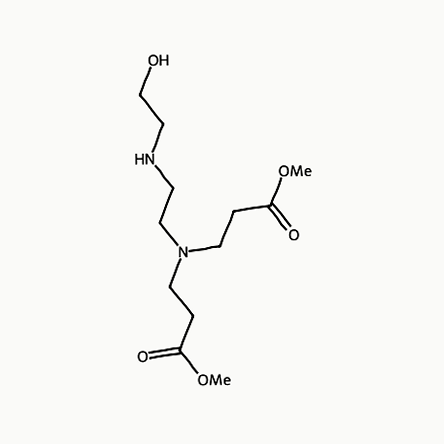 COC(=O)CCN(CCNCCO)CCC(=O)OC